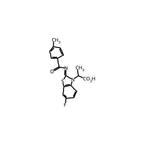 Cc1ccc(C(=O)/N=c2\sc3cc(F)ccc3n2C(C)C(=O)O)cc1